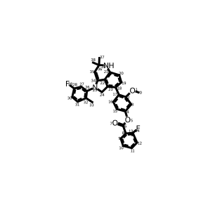 COc1cc(OC(=O)c2ccccc2F)ccc1-c1ccc2c3c1CN(c1cc(F)ccc1C)C3=CC(C)(C)N2